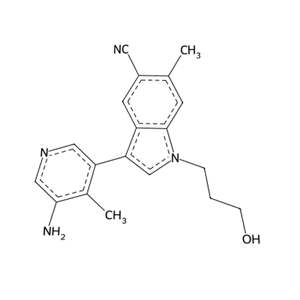 Cc1cc2c(cc1C#N)c(-c1cncc(N)c1C)cn2CCCO